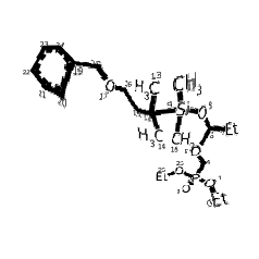 CCOP(=O)(COC(CC)O[Si](C)(C)C(C)(C)CCOCc1ccccc1)OCC